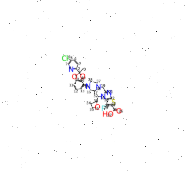 CC1(c2ccc(Cl)cn2)Oc2cccc(N3CCN(Cc4nc5sc(C(=O)O)c(F)c5n4CC4CCO4)CC3)c2O1